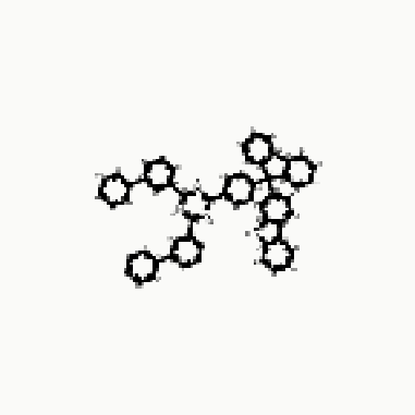 c1ccc(-c2cccc(-c3nc(-c4ccc(C5(c6ccc7c(c6)sc6ccccc67)c6ccccc6-c6ccccc65)cc4)nc(-c4cccc(-c5ccccc5)c4)n3)c2)cc1